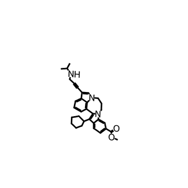 COC(=O)c1ccc2c(C3CCCCC3)c3n(c2c1)CCCn1cc(C#CCNC(C)C)c2cccc-3c21